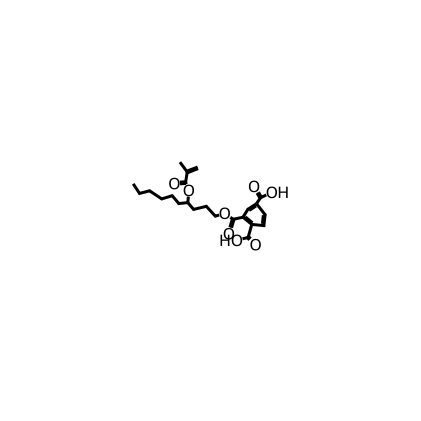 C=C(C)C(=O)OC(CCCCCC)CCCOC(=O)c1cc(C(=O)O)ccc1C(=O)O